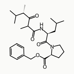 CC(C)C[C@H](NC(=O)C(C)C(=O)[C@@H](C)C(C)C)C(=O)N1CCC[C@H]1C(=O)OCc1ccccc1